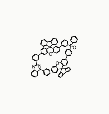 O=P(c1ccccc1)(c1ccc(-c2ccc3c(c2)Oc2ccccc2C32c3ccccc3-c3ccccc32)cc1)c1cccc(-c2ccc3c(c2)C2(c4ccc(-c5cccc(-c6nc(-c7ccccc7)c7ccccc7n6)c5)cc4O3)c3ccccc3-c3ccccc32)c1